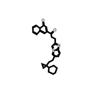 O=C(CCc1cn2cc(CCC3(C4CCCCC4)CC3)ccc2n1)C1=CC(=O)C2C=CC=CC2=C1